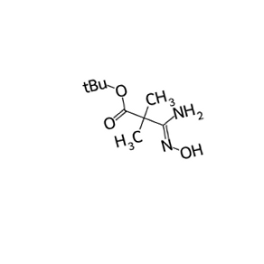 CC(C)(C)OC(=O)C(C)(C)C(N)=NO